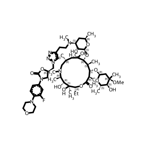 CC[C@H]1OC(=O)[C@H](C)[C@@H](O[C@H]2C[C@@](C)(OC)[C@@H](O)[C@H](C)O2)[C@H](C)[C@@H](O[C@@H]2O[C@H](C)C[C@H](N(C)CCc3cn(C[C@H]4CN(c5ccc(N6CCOCC6)c(F)c5)C(=O)O4)nn3)[C@H]2O)[C@](C)(O)C[C@@H](C)CN(C)[C@H](C)[C@@H](O)[C@]1(C)O